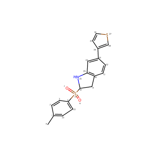 Cc1ccc(S(=O)(=O)C2Cc3ccc(-c4ccsc4)cc3N2)cc1